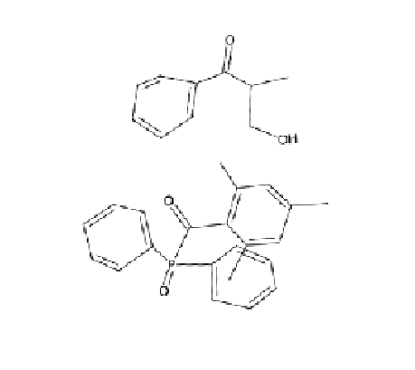 CC(CO)C(=O)c1ccccc1.Cc1cc(C)c(C(=O)P(=O)(c2ccccc2)c2ccccc2)c(C)c1